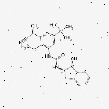 C=C(C#N)c1cc(C(C)(C)C)cc(NC(=O)N[C@@H]2Cc3ccccc3[C@@H]2O)c1OC